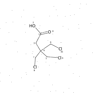 O=C(O)CC(CCl)(CCl)CCl